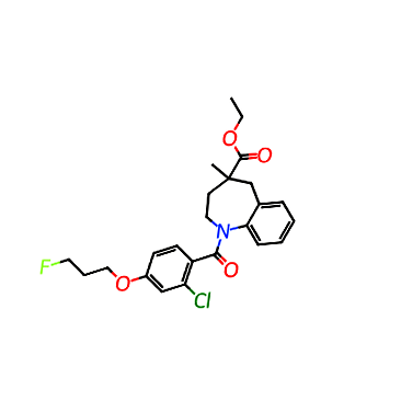 CCOC(=O)C1(C)CCN(C(=O)c2ccc(OCCCF)cc2Cl)c2ccccc2C1